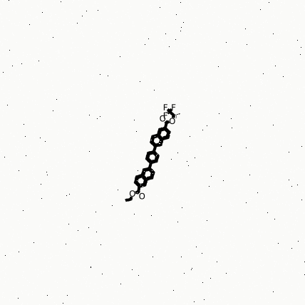 CCOC(=O)c1ccc2cc(-c3ccc(-c4ccc5cc(C(=O)O[C@@H](C)C(F)(F)F)ccc5c4)cc3)ccc2c1